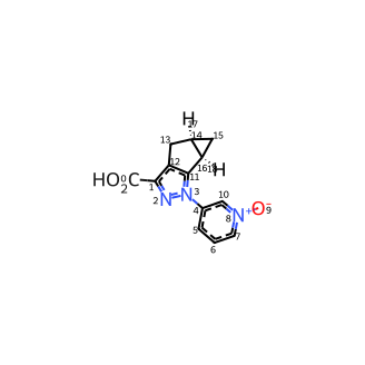 O=C(O)c1nn(-c2ccc[n+]([O-])c2)c2c1C[C@H]1C[C@@H]21